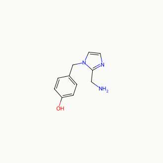 NCc1nccn1Cc1ccc(O)cc1